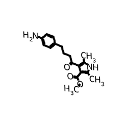 COC(=O)c1c(C)[nH]c(C)c1C(=O)CCCc1ccc(N)cc1